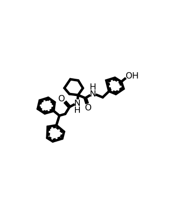 O=C(CC(c1ccccc1)c1ccccc1)NC1(C(=O)NCc2ccc(O)cc2)CCCCC1